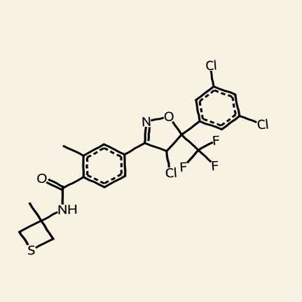 Cc1cc(C2=NOC(c3cc(Cl)cc(Cl)c3)(C(F)(F)F)C2Cl)ccc1C(=O)NC1(C)CSC1